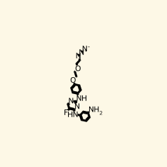 [N-]=[N+]=NCCOCCOc1ccc(Nc2ncc(F)c(Nc3cccc(N)c3)n2)cc1